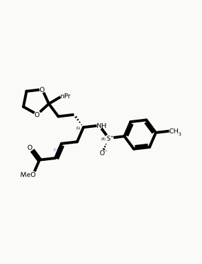 CCCC1(CC[C@@H](C/C=C/C(=O)OC)N[S@@+]([O-])c2ccc(C)cc2)OCCO1